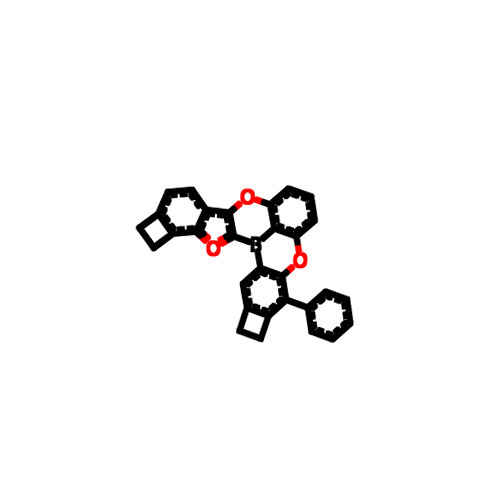 c1ccc(-c2c3c(cc4c2Oc2cccc5c2B4c2oc4c6c(ccc4c2O5)CC6)CC3)cc1